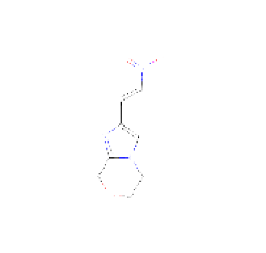 O=[N+]([O-])C=Cc1cn2c(n1)COCC2